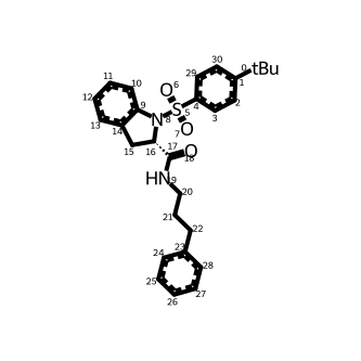 CC(C)(C)c1ccc(S(=O)(=O)N2c3ccccc3C[C@H]2C(=O)NCCCc2ccccc2)cc1